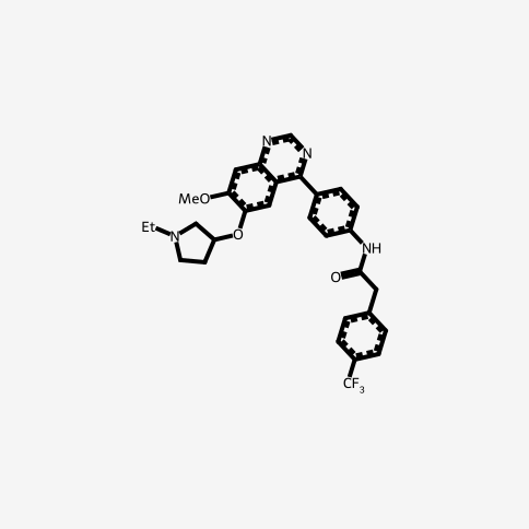 CCN1CCC(Oc2cc3c(-c4ccc(NC(=O)Cc5ccc(C(F)(F)F)cc5)cc4)ncnc3cc2OC)C1